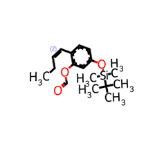 CC/C=C\c1ccc(O[Si](C)(C)C(C)(C)C)cc1OC=O